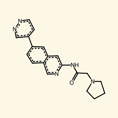 O=C(CN1CCCC1)Nc1cc2cc(-c3ccnnc3)ccc2cn1